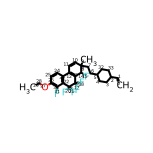 C=CC1CCC(CCC2(C)C=CC3=C(C2F)C(F)(F)C(F)(F)c2c3ccc(OCC)c2F)CC1